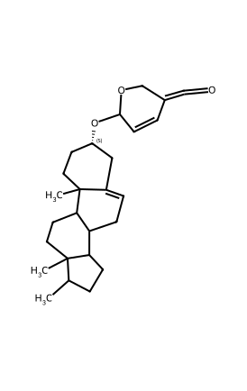 CC1CCC2C3CC=C4C[C@@H](OC5C=CC(=C=O)CO5)CCC4(C)C3CCC12C